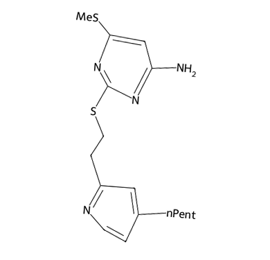 CCCCCc1ccnc(CCSc2nc(N)cc(SC)n2)c1